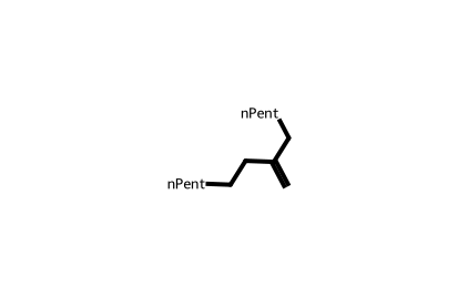 [CH2]CCCCCC(=C)CCCCCCC